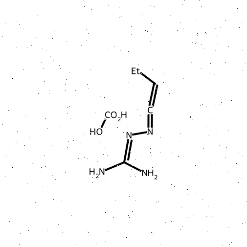 CCC=C=NN=C(N)N.O=C(O)O